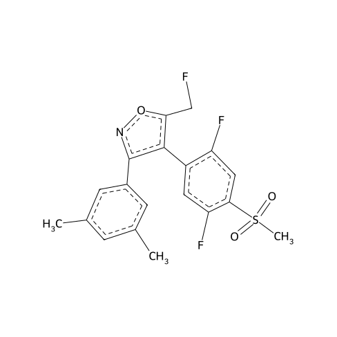 Cc1cc(C)cc(-c2noc(CF)c2-c2cc(F)c(S(C)(=O)=O)cc2F)c1